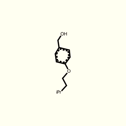 CC(C)CCOc1ccc(CO)cc1